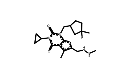 CNNCc1sc2c(c1C)c(=O)n(C1CC1)c(=O)n2CC1CCC(F)(F)C1